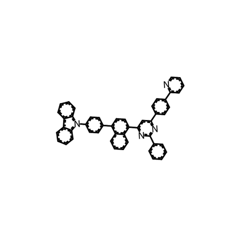 c1ccc(-c2nc(-c3ccc(-c4ccccn4)cc3)cc(-c3ccc(-c4ccc(-n5c6ccccc6c6ccccc65)cc4)c4ccccc34)n2)cc1